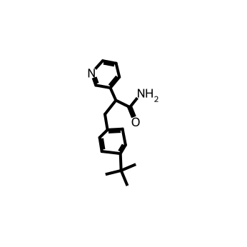 CC(C)(C)c1ccc(CC(C(N)=O)c2cccnc2)cc1